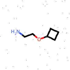 NCCO[C]1CCC1